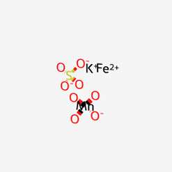 O=S(=O)([O-])[O-].[Fe+2].[K+].[O]=[Mn](=[O])(=[O])[O-]